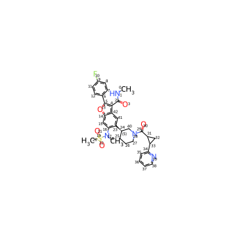 CNC(=O)c1c(-c2ccc(F)cc2)oc2cc(N(C)S(C)(=O)=O)c([C@@H]3CCCN(C(=O)C4CC4c4ccccn4)C3)cc12